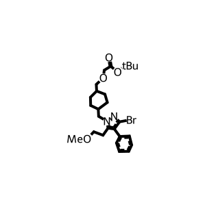 COCCc1c(-c2ccccc2)c(Br)nn1CC1CCC(COCC(=O)OC(C)(C)C)CC1